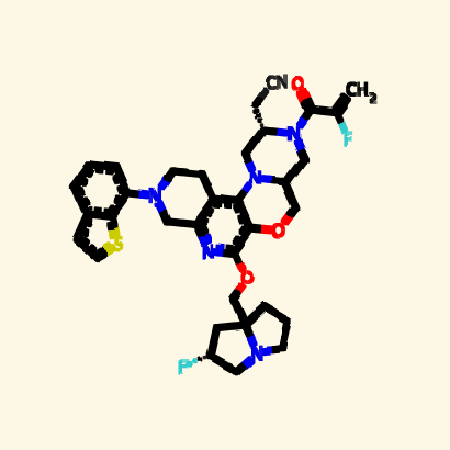 C=C(F)C(=O)N1CC2COc3c(OCC45CCCN4C[C@H](F)C5)nc4c(c3N2C[C@@H]1CC#N)CCN(c1cccc2ccsc12)C4